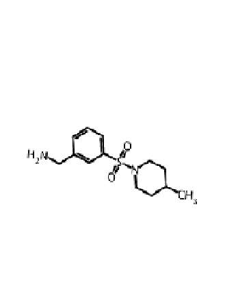 CC1CCN(S(=O)(=O)c2cccc(CN)c2)CC1